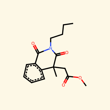 CCCCN1C(=O)c2ccccc2C(C)(CC(=O)OC)C1=O